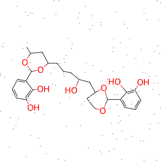 CC1CC(CCCC(O)CC2CCOC(c3cccc(O)c3O)O2)OC(c2cccc(O)c2O)O1